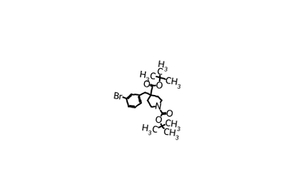 CC(C)(C)OC(=O)N1CCC(Cc2cccc(Br)c2)(C(=O)OC(C)(C)C)CC1